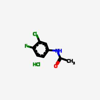 CC(=O)Nc1ccc(F)c(Cl)c1.Cl